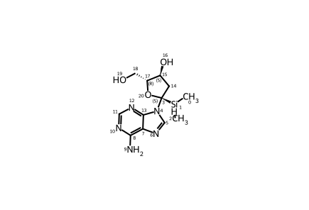 C[SiH](C)[C@]1(n2cnc3c(N)ncnc32)C[C@H](O)[C@@H](CO)O1